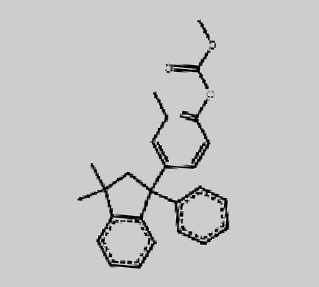 C=C(/C=C\C(=C/CC)C1(c2ccccc2)CC(C)(C)c2ccccc21)OC(=O)OC